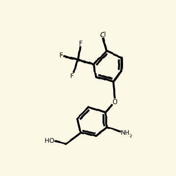 Nc1cc(CO)ccc1Oc1ccc(Cl)c(C(F)(F)F)c1